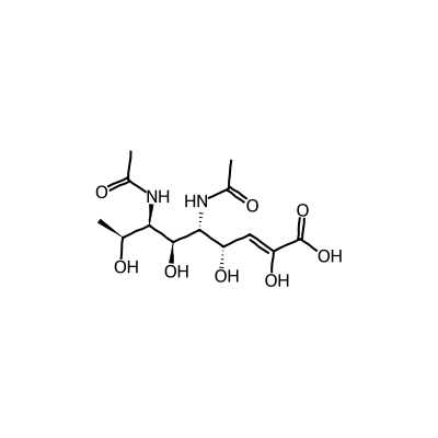 CC(=O)N[C@@H]([C@H](O)[C@H](NC(C)=O)[C@@H](O)/C=C(\O)C(=O)O)[C@H](C)O